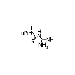 CCCNC(=S)NC(=N)N